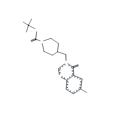 CC(C)(C)OC(=O)N1CCC(Cn2cnc3ccc(Br)cc3c2=O)CC1